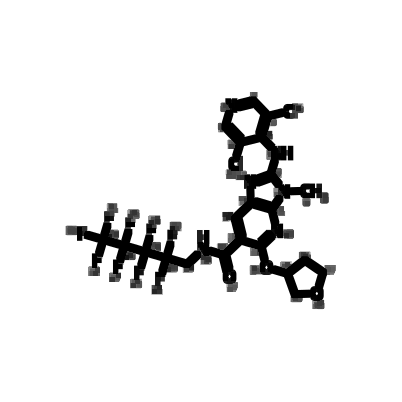 Cn1c(Nc2c(Cl)cncc2Cl)nc2cc(C(=O)NCC(F)(F)C(F)(F)C(F)(F)C(F)(F)F)c(OC3CCOC3)nc21